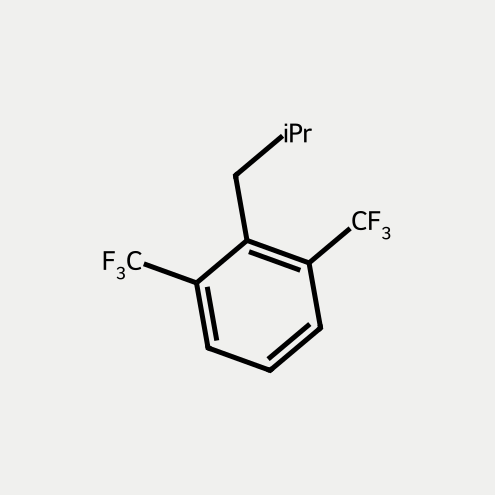 [CH2]C(C)Cc1c(C(F)(F)F)cccc1C(F)(F)F